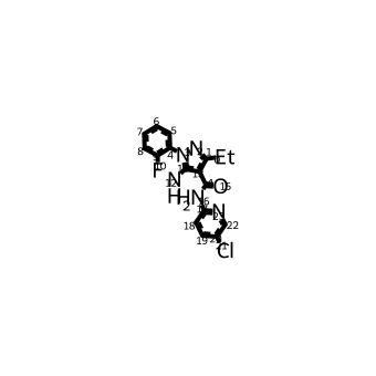 CCc1nn(-c2ccccc2F)c(N)c1C(=O)Nc1ccc(Cl)cn1